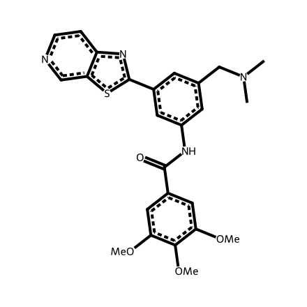 COc1cc(C(=O)Nc2cc(CN(C)C)cc(-c3nc4ccncc4s3)c2)cc(OC)c1OC